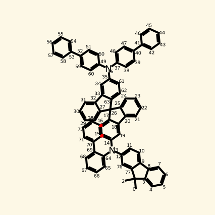 CC1(C)c2ccccc2-c2ccc(N(c3ccc4c(c3)-c3ccccc3C43c4ccccc4-c4cc(N(c5ccc(-c6ccccc6)cc5)c5ccc(-c6ccccc6)cc5)ccc43)c3ccccc3-c3ccccc3)cc21